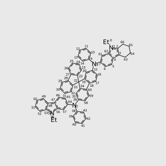 CCn1c2c(c3ccc(N(c4ccccc4)c4ccc5c(c4)C4(c6ccccc6-c6ccccc64)c4cc(N(c6ccccc6)c6ccc7c8ccccc8n(CC)c7c6)ccc4-5)cc31)CCCC2